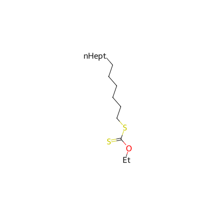 CCCCCCCCCCCCCSC(=S)OCC